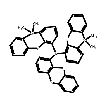 C[Si]1(C)c2ccccc2Oc2c(N(c3cccc4c3Oc3ccccc3S4)c3cccc4c3Sc3ccccc3[Si]4(C)C)cccc21